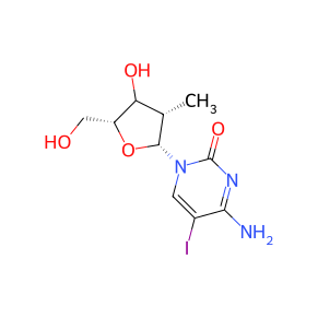 C[C@H]1C(O)[C@@H](CO)O[C@H]1n1cc(I)c(N)nc1=O